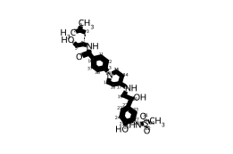 CC(C)C[C@@H](CO)NC(=O)c1ccc(N2CCC(NC[C@@H](O)c3ccc(O)c(NS(C)(=O)=O)c3)CC2)cc1